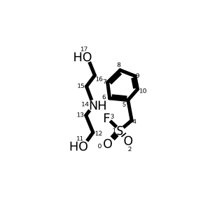 O=S(=O)(F)Cc1ccccc1.OCCNCCO